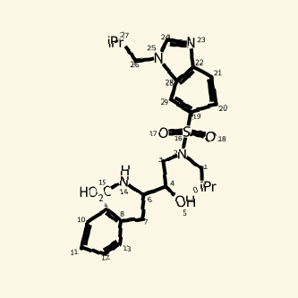 CC(C)CN(CC(O)C(Cc1ccccc1)NC(=O)O)S(=O)(=O)c1ccc2ncn(CC(C)C)c2c1